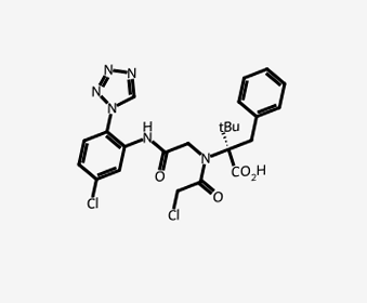 CC(C)(C)[C@](Cc1ccccc1)(C(=O)O)N(CC(=O)Nc1cc(Cl)ccc1-n1cnnn1)C(=O)CCl